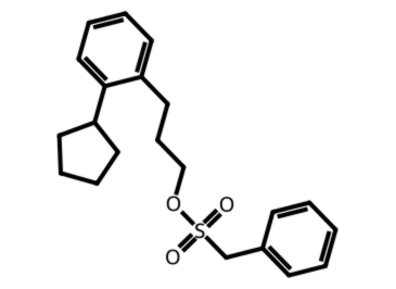 O=S(=O)(Cc1ccccc1)OCCCc1ccccc1C1CCCC1